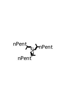 CCCCCC(C)=C[SiH](C=C(C)CCCCC)C=C(C)CCCCC